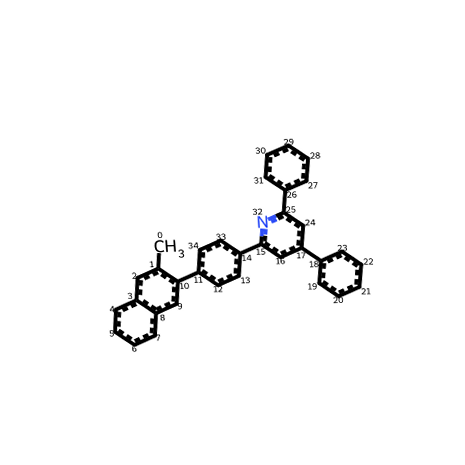 Cc1cc2ccccc2cc1-c1ccc(-c2cc(-c3ccccc3)cc(-c3ccccc3)n2)cc1